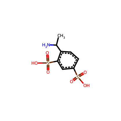 CC(N)c1ccc(S(=O)(=O)O)cc1S(=O)(=O)O